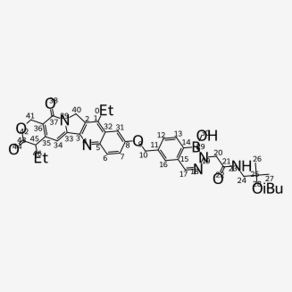 CCc1c2c(nc3ccc(OCc4ccc5c(c4)C=NN(CC(=O)NCC(C)(C)OCC(C)C)B5O)cc13)-c1cc3c(c(=O)n1C2)COC(=O)C3CC